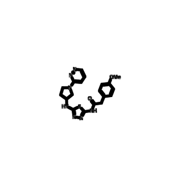 COc1ccc(CC(=O)Nc2nnc(NC3CCN(c4cccnn4)C3)s2)cc1